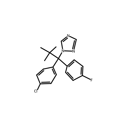 CC(C)(C)C(c1ccc(F)cc1)(c1ccc(Cl)cc1)n1cncn1